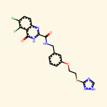 O=C(NCc1cccc(OCCSc2nc[nH]n2)c1)c1nc2ccc(F)c(F)c2c(=O)[nH]1